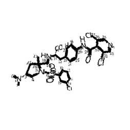 CN(C)[C@H]1CN(S(=O)(=O)c2cccc(Cl)c2)C(C)(C(=O)N[C@@H](Cc2ccc(NC(=O)c3c(Cl)cncc3Cl)cc2)C(=O)O)C1